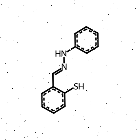 Sc1ccccc1C=NNc1ccccc1